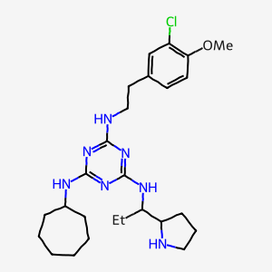 CCC(Nc1nc(NCCc2ccc(OC)c(Cl)c2)nc(NC2CCCCCC2)n1)C1CCCN1